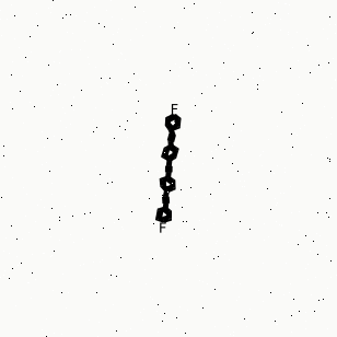 Fc1ccc(C#Cc2ccc(C#Cc3ccc(C#Cc4ccc(F)cc4)cc3)cc2)cc1